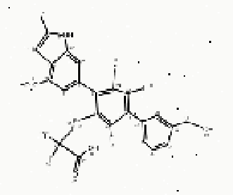 Cc1nc2c(C(=O)O)cc(-c3c(F)c(F)c(-c4cccc(CO)c4)c(F)c3F)cc2[nH]1.O=C(O)C(F)(F)F